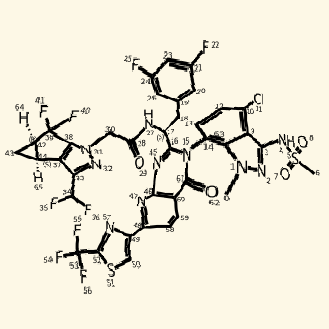 Cn1nc(NS(C)(=O)=O)c2c(Cl)ccc(-n3c([C@H](Cc4cc(F)cc(F)c4)NC(=O)Cn4nc(C(F)F)c5c4C(F)(F)[C@@H]4C[C@H]54)nc4nc(-c5csc(C(F)(F)F)n5)ccc4c3=O)c21